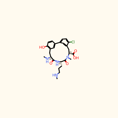 CNCCC[C@@H]1NC(=O)[C@@H](NC)Cc2cc(ccc2O)-c2ccc(Cl)c(c2)C[C@@H](C(=O)O)N(C)C1=O